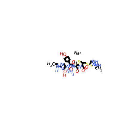 CCNc1ncc(N(C(N)=O)C(C(=O)NC2C(=O)N3C(C(=O)[O-])=C(CSC4=CNN(NC)S4)CS[C@H]23)c2ccc(O)cc2)c(O)n1.[Na+]